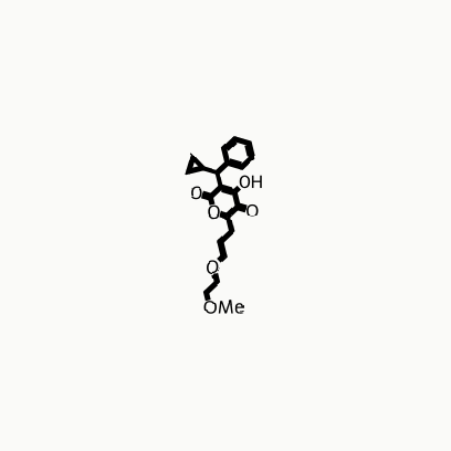 COCCOCCCC1OC(=O)C(C(c2ccccc2)C2CC2)=C(O)C1=O